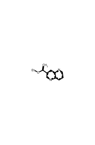 C=C(OCC)c1cnc2cccnc2c1